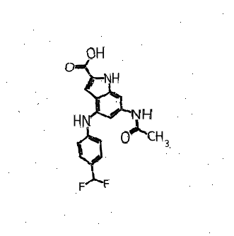 CC(=O)Nc1cc(Nc2ccc(C(F)F)cc2)c2cc(C(=O)O)[nH]c2c1